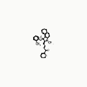 Cc1ccccc1CC1(C)/C(=C/C=C/C(=O)c2ccccn2)N(C)c2ccc3ccccc3c21